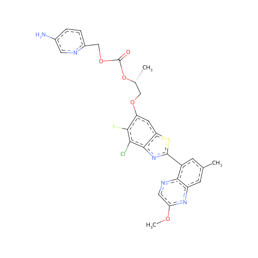 COc1cnc2c(-c3nc4c(Cl)c(F)c(OC[C@@H](C)OC(=O)OCc5ccc(N)cn5)cc4s3)cc(C)cc2n1